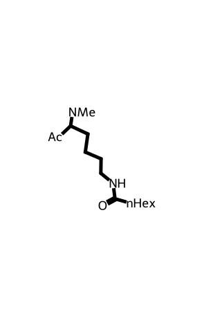 CCCCCCC(=O)NCCCCC(NC)C(C)=O